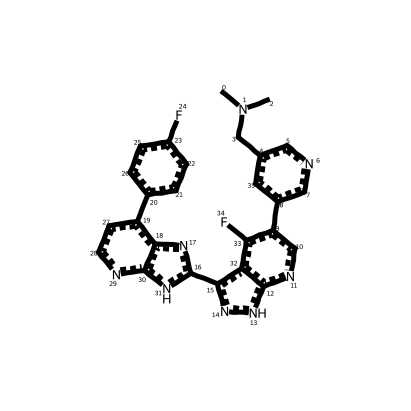 CN(C)Cc1cncc(-c2cnc3[nH]nc(-c4nc5c(-c6ccc(F)cc6)ccnc5[nH]4)c3c2F)c1